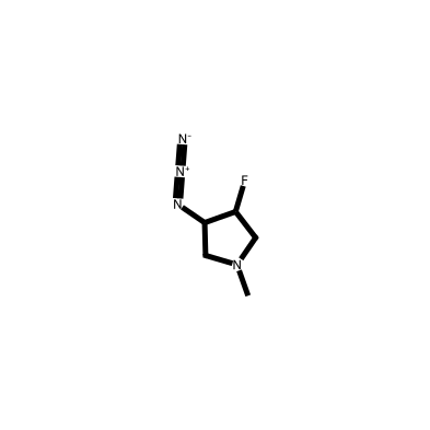 CN1CC(F)C(N=[N+]=[N-])C1